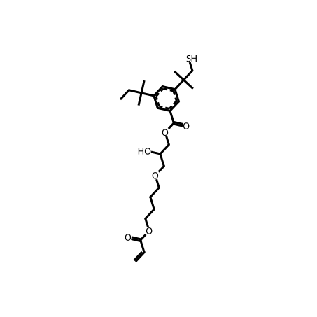 C=CC(=O)OCCCCOCC(O)COC(=O)c1cc(C(C)(C)CC)cc(C(C)(C)CS)c1